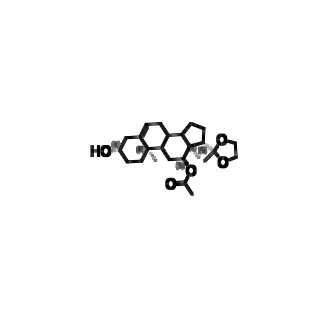 CC(=O)O[C@H]1CC2C(CC=C3C[C@@H](O)CC[C@@]32C)C2CC[C@H](C3(C)OCCO3)[C@]21C